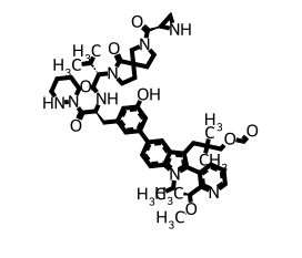 CCn1c(-c2cccnc2[C@H](C)OC)c(CC(C)(C)COC=O)c2cc(-c3cc(O)cc(C[C@H](NC(=O)[C@H](C(C)C)N4CCC5(CCN(C(=O)[C@H]6CN6)C5)C4=O)C(=O)N4CCCCN4)c3)ccc21